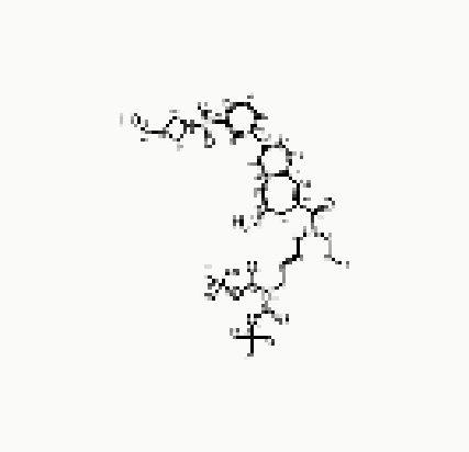 CCCN(C/C=C/CN(C(=O)OC(C)(C)C)C(=O)OC(C)(C)C)C(=O)C1=Cc2ccc(-c3cccc(S(=O)(=O)N4CC(CO)C4)c3)cc2N=C(N)C1